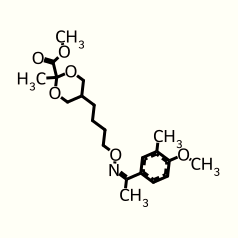 COC(=O)C1(C)OCC(CCCCON=C(C)c2ccc(OC)c(C)c2)CO1